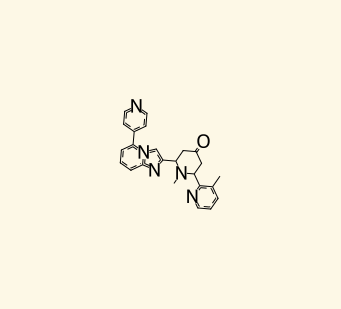 Cc1cccnc1C1CC(=O)CC(c2cn3c(-c4ccncc4)cccc3n2)N1C